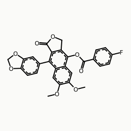 COc1cc2c(OC(=O)c3ccc(F)cc3)c3c(c(-c4ccc5c(c4)OCO5)c2cc1OC)C(=O)OC3